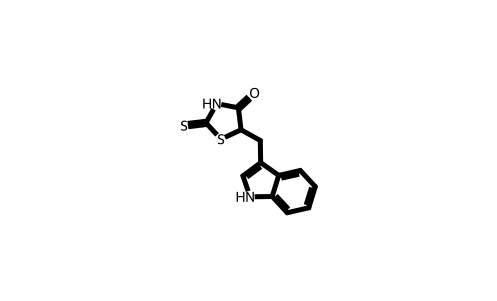 O=C1NC(=S)SC1Cc1c[nH]c2ccccc12